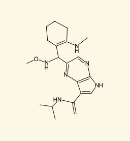 C=C(NC(C)C)c1c[nH]c2ncc(C(NOC)C3=C(NC)CCCC3)nc12